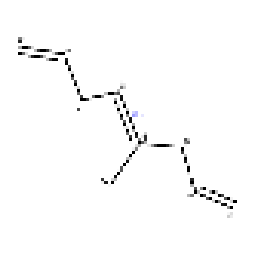 C=CC/C=C(\C)CC=C